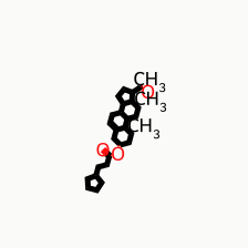 CC(=O)C1CCC2C3CC=C4CC(OC(=O)CCC5CCCC5)CCC4(C)C3CCC12C